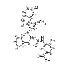 Cn1nc(C(=O)N(CC(=O)Nc2cc(C(=O)O)ccc2F)Cc2ccccc2)c2c1-c1cc(Cl)ccc1OC2